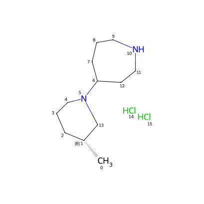 C[C@@H]1CCCN(C2CCCNCC2)C1.Cl.Cl